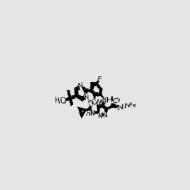 CNC(=O)c1nnc(NC(=O)C2CC2)cc1Nc1cc(F)cc(-c2ncc(C(C)(C)O)cn2)c1OC